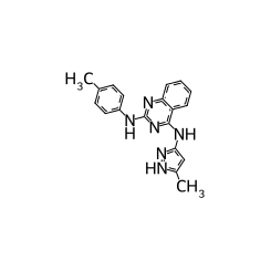 Cc1ccc(Nc2nc(Nc3cc(C)[nH]n3)c3ccccc3n2)cc1